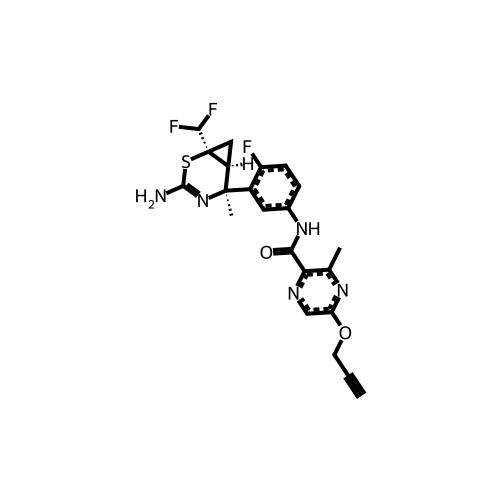 C#CCOc1cnc(C(=O)Nc2ccc(F)c([C@@]3(C)N=C(N)S[C@@]4(C(F)F)C[C@@H]34)c2)c(C)n1